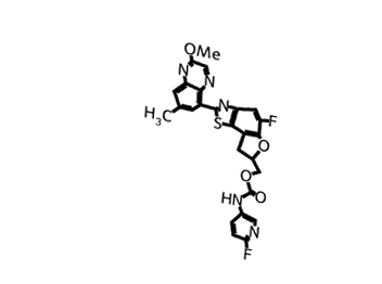 COc1cnc2c(-c3nc4cc(F)c5c(c4s3)CC(COC(=O)Nc3ccc(F)nc3)O5)cc(C)cc2n1